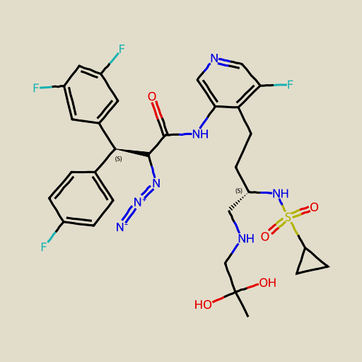 CC(O)(O)CNC[C@H](CCc1c(F)cncc1NC(=O)C(N=[N+]=[N-])[C@@H](c1ccc(F)cc1)c1cc(F)cc(F)c1)NS(=O)(=O)C1CC1